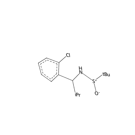 CC(C)C(N[S+]([O-])C(C)(C)C)c1ccccc1Cl